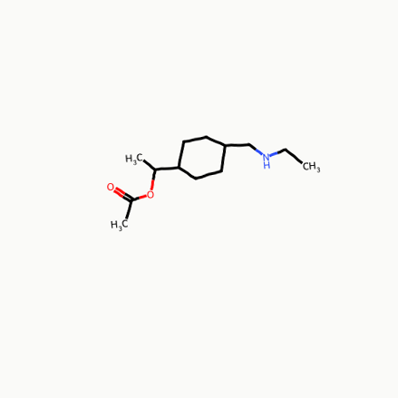 CCNCC1CCC(C(C)OC(C)=O)CC1